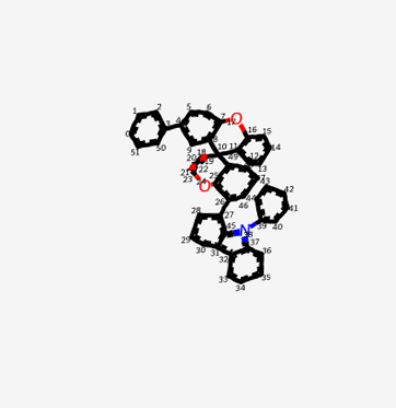 c1ccc(-c2ccc3c(c2)C2(c4ccccc4O3)c3ccccc3Oc3c(-c4cccc5c6ccccc6n(-c6ccccc6)c45)cccc32)cc1